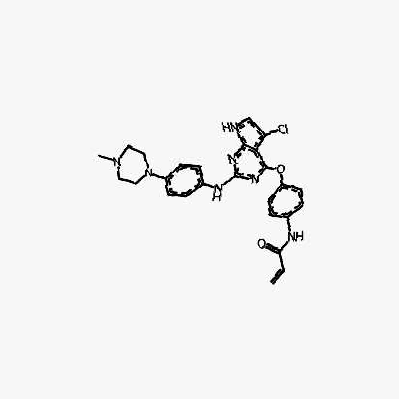 C=CC(=O)Nc1ccc(Oc2nc(Nc3ccc(N4CCN(C)CC4)cc3)nc3[nH]cc(Cl)c23)cc1